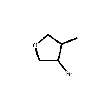 CC1COCC1Br